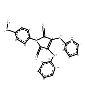 CCOc1ccc(N2C(=O)C(Sc3ccccn3)=C(Sc3ccccn3)C2=O)cc1